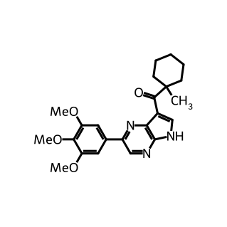 COc1cc(-c2cnc3[nH]cc(C(=O)C4(C)CCCCC4)c3n2)cc(OC)c1OC